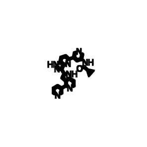 O=C(Nc1cncc(-c2ccc3[nH]nc(-c4cc5c(-c6cccnc6)nccc5[nH]4)c3n2)c1)C1CC1